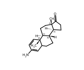 C[C@]12C=CC(N)=CC1CC[C@@H]1[C@@H]2CC[C@]2(C)C(=O)CC[C@@H]12